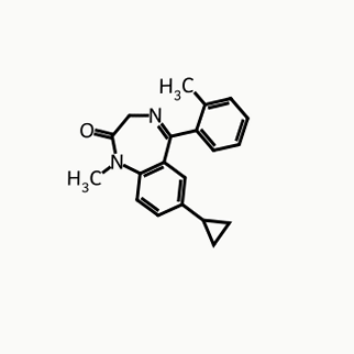 Cc1ccccc1C1=NCC(=O)N(C)c2ccc(C3CC3)cc21